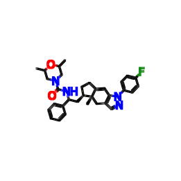 CC1CN(C(=O)NC(C[C@H]2CCC3=Cc4c(cnn4-c4ccc(F)cc4)C[C@@]32C)c2ccccc2)CC(C)O1